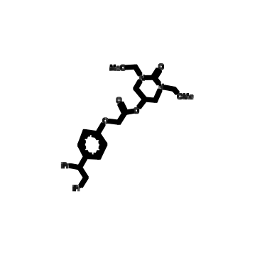 COCN1CC(OC(=O)COc2ccc(C(CC(C)C)C(C)C)cc2)CN(COC)C1=O